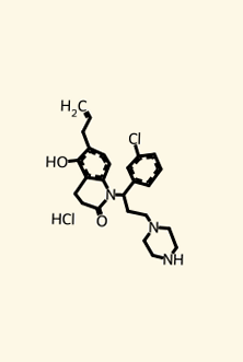 C=CCc1ccc2c(c1O)CCC(=O)N2C(CCN1CCNCC1)c1cccc(Cl)c1.Cl